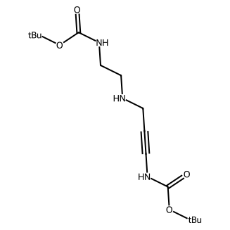 CC(C)(C)OC(=O)NC#CCNCCNC(=O)OC(C)(C)C